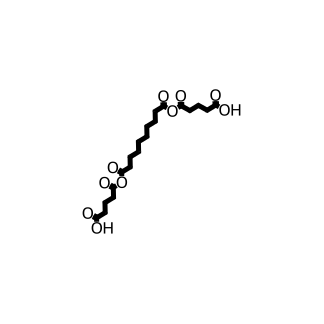 O=C(O)CCCC(=O)OC(=O)CCCCCCCCC(=O)OC(=O)CCCC(=O)O